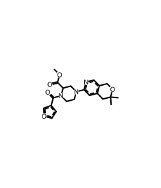 COC(=O)C1CN(c2cc3c(cn2)COC(C)(C)C3)CCN1C(=O)c1ccoc1